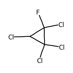 FC1(Cl)C(Cl)C1(Cl)Cl